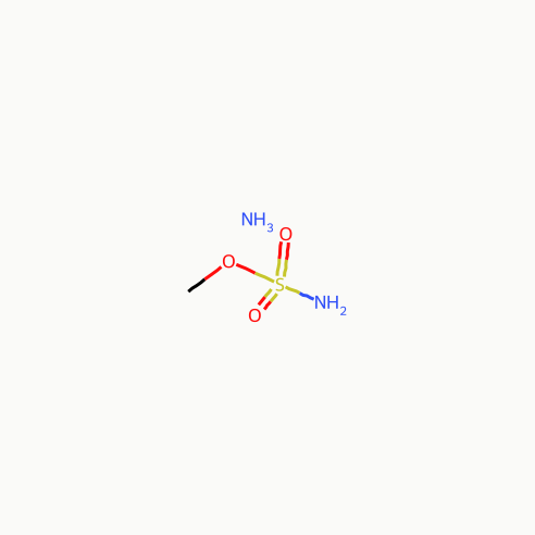 COS(N)(=O)=O.N